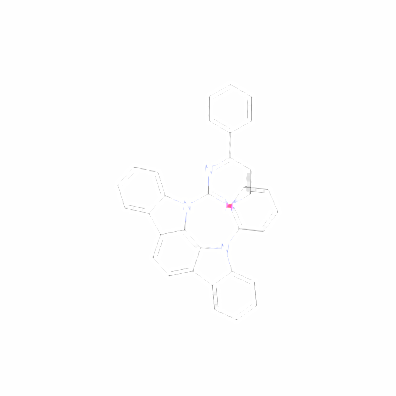 c1ccc(-c2ccnc(-n3c4ccccc4c4ccc5c6ccccc6n(-c6ccccc6)c5c43)n2)cc1